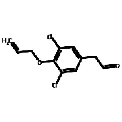 C=CCOc1c(Cl)cc(CC=O)cc1Cl